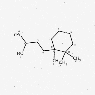 CCCC(O)CC[C@@]1(C)CCCCC1(C)C